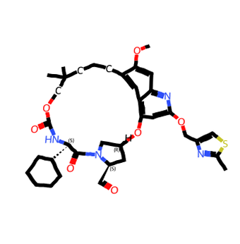 COc1cc2nc(OCc3csc(C)n3)cc3c2cc1CCCC(C)(C)COC(=O)N[C@@H](C1CCCCC1)C(=O)N1C[C@@H](C[C@H]1C=O)O3